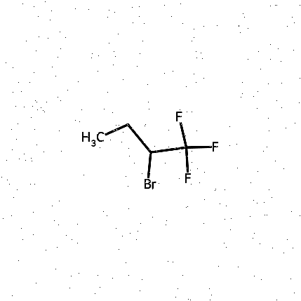 CCC(Br)C(F)(F)F